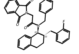 O=C1c2ccccc2C(=O)N1CC(=O)N(Cc1ccccc1)[C@@H]1c2ccccc2CC[C@H]1Cc1ccccc1F